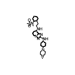 CN1CCN(c2ccc(Nc3nc4c(NCCc5ccccc5N(C)S(C)(=O)=O)cccn4n3)cc2)CC1